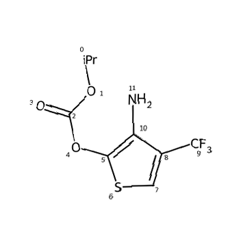 CC(C)OC(=O)Oc1scc(C(F)(F)F)c1N